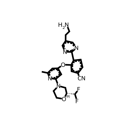 Cc1cc(Oc2cc(C#N)ccc2-c2ncc(CCN)cn2)cc(N2CCO[C@@H](C(F)F)C2)n1